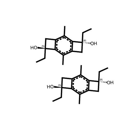 CC[C@@]1(O)Cc2c(C)c3c(c(C)c21)C[C@@]3(O)CC.CC[C@@]1(O)Cc2c(C)c3c(c(C)c21)C[C@@]3(O)CC